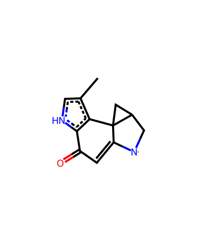 Cc1c[nH]c2c1C13CC1C[N]C3=CC2=O